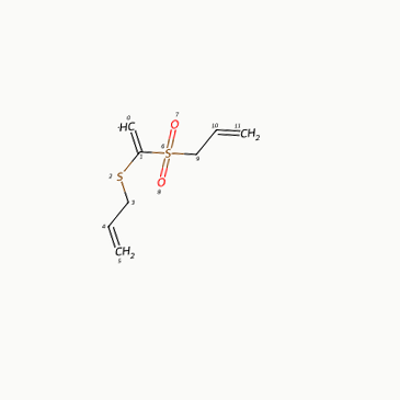 [CH]=C(SCC=C)S(=O)(=O)CC=C